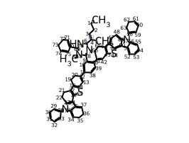 CCC/C=C(\C)C1N=C(c2cc(C3=Cc4sc5c(c4CC3)CCc3c-5c4c(n3-c3ccccc3)=CCCC=4)ccc2C2=Cc3sc4c(ccc5c4c4ccccc4n5C4=CC=CCC4)c3CC2)N(C)C(C2=CCCC=C2)N1